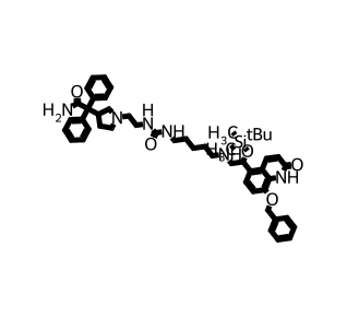 CC(C)(C)[Si](C)(C)OC(CNCCCCCNC(=O)NCCN1CCC(C(C(N)=O)(c2ccccc2)c2ccccc2)C1)c1ccc(OCc2ccccc2)c2[nH]c(=O)ccc12